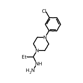 CCC(NN)N1CCN(c2cccc(Cl)c2)CC1